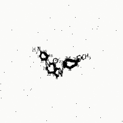 COc1ccc(-n2ncc3c2C(=O)N(c2ccc(N)cc2)CC3)cc1